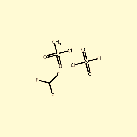 CS(=O)(=O)Cl.FC(F)F.O=S(=O)(Cl)Cl